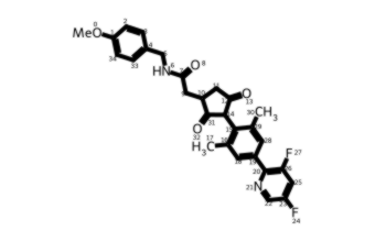 COc1ccc(CNC(=O)CC2CC(=O)C(c3c(C)cc(-c4ncc(F)cc4F)cc3C)C2=O)cc1